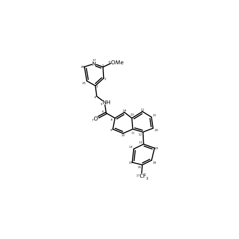 COc1cc(CNC(=O)c2ccc3c(-c4ccc(C(F)(F)F)cc4)cccc3c2)ccn1